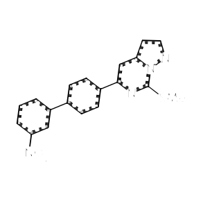 CSc1nc(-c2ccc(-c3cccc([N+](=O)[O-])c3)cc2)cc2ccnn12